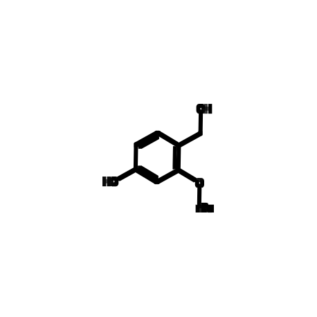 CCCCOc1cc(O)ccc1CO